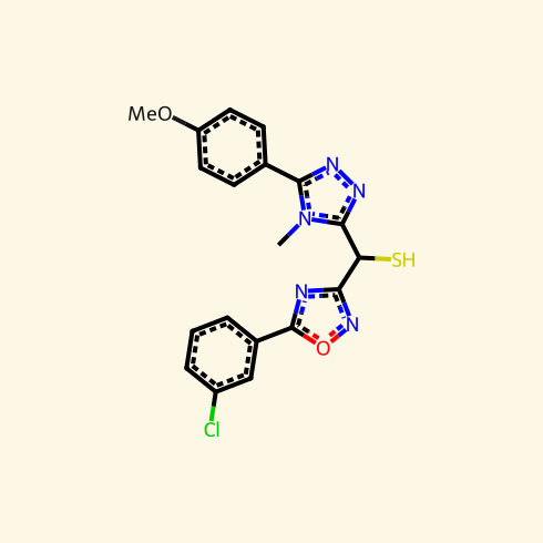 COc1ccc(-c2nnc(C(S)c3noc(-c4cccc(Cl)c4)n3)n2C)cc1